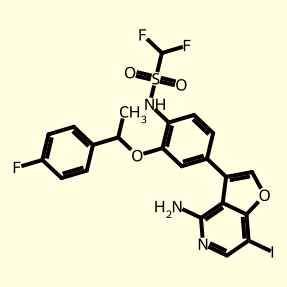 CC(Oc1cc(-c2coc3c(I)cnc(N)c23)ccc1NS(=O)(=O)C(F)F)c1ccc(F)cc1